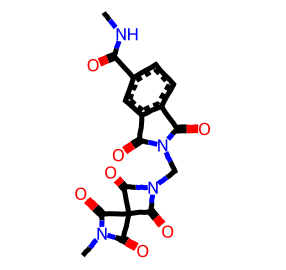 CNC(=O)c1ccc2c(c1)C(=O)N(CN1C(=O)C3(C(=O)N(C)C3=O)C1=O)C2=O